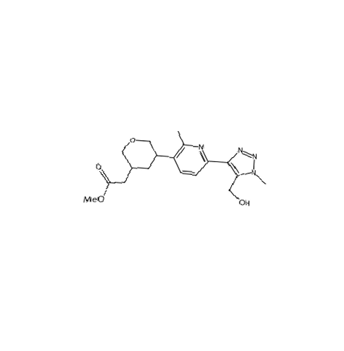 COC(=O)CC1COCC(c2ccc(-c3nnn(C)c3CO)nc2C)C1